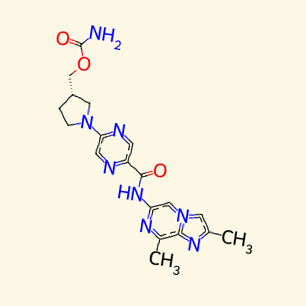 Cc1cn2cc(NC(=O)c3cnc(N4CC[C@H](COC(N)=O)C4)cn3)nc(C)c2n1